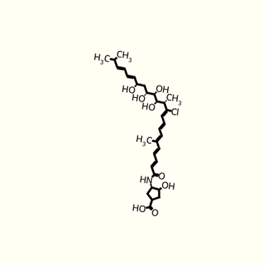 CC(/C=C/C=C/C(=O)N[C@@H]1CC(C(=O)O)CC1O)=C\C=C\C=C(/Cl)[C@@H](C)[C@@H](O)[C@H](O)[C@H](O)C[C@@H](O)/C=C/C=C/C(C)C